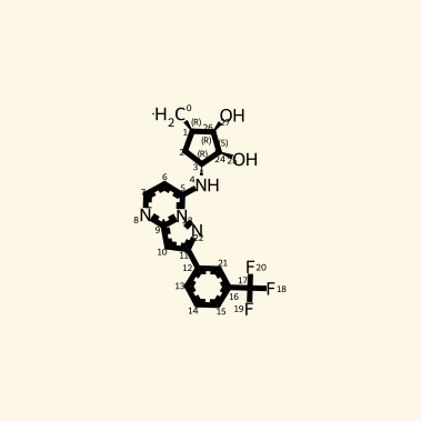 [CH2][C@@H]1C[C@@H](Nc2ccnc3cc(-c4cccc(C(F)(F)F)c4)nn23)[C@H](O)[C@@H]1O